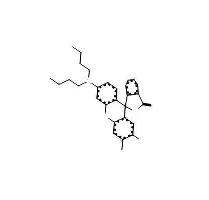 CCCCN(CCCC)c1ccc2c(c1)Oc1cc(C)c(Cl)cc1C21OC(=O)c2ccccc21